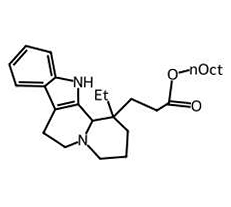 CCCCCCCCOC(=O)CCC1(CC)CCCN2CCc3c([nH]c4ccccc34)C21